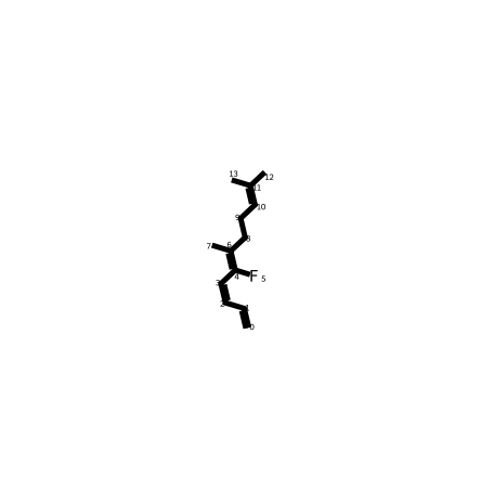 C=C/C=C\C(F)=C(/C)CCC=C(C)C